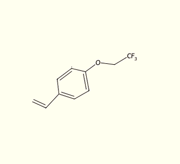 C=Cc1c[c]c(OCC(F)(F)F)cc1